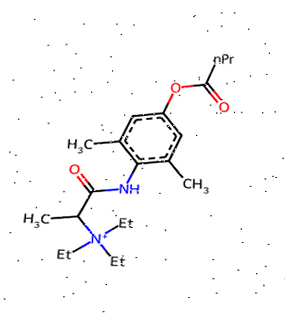 CCCC(=O)Oc1cc(C)c(NC(=O)C(C)[N+](CC)(CC)CC)c(C)c1